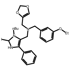 CCCCN1C(CN(CC2=COCO2)Cc2cccc(OCC)c2)=C(c2ccccc2)NC1I